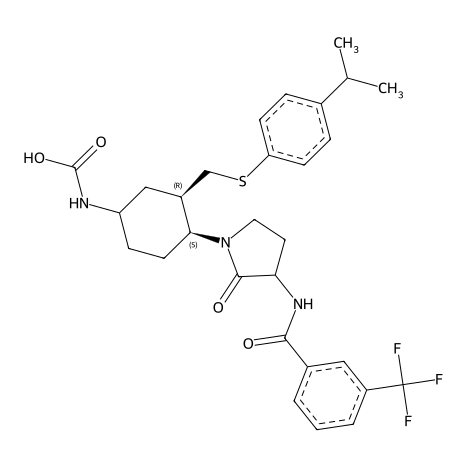 CC(C)c1ccc(SC[C@@H]2CC(NC(=O)O)CC[C@@H]2N2CCC(NC(=O)c3cccc(C(F)(F)F)c3)C2=O)cc1